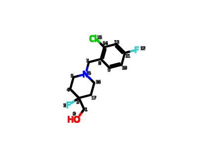 OCC1(F)CCN(Cc2ccc(F)cc2Cl)CC1